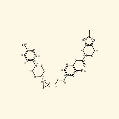 Cc1nc2c(o1)CN(C(=O)Cc1ccc(OCC[C@@H]3C[C@@H]3C3CCN(c4ncc(Cl)cn4)CC3)cc1F)CC2